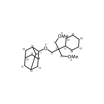 COCC(COC)(COC1C2CC3CC(C2)CC1C3)C1CCCCC1